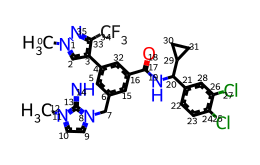 Cn1cc(-c2cc(Cn3ccn(C)c3=N)cc(C(=O)NC(c3ccc(Cl)c(Cl)c3)C3CC3)c2)c(C(F)(F)F)n1